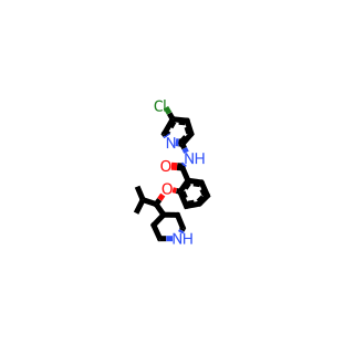 CC(C)C(Oc1ccccc1C(=O)Nc1ccc(Cl)cn1)C1CCNCC1